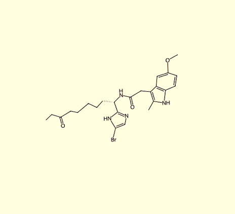 CCC(=O)CCCCC[C@H](NC(=O)Cc1c(C)[nH]c2ccc(OC)cc12)c1ncc(Br)[nH]1